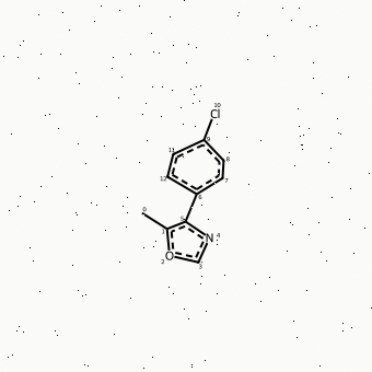 Cc1o[c]nc1-c1ccc(Cl)cc1